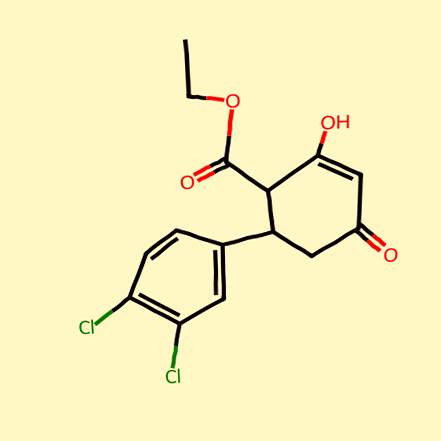 CCOC(=O)C1C(O)=CC(=O)CC1c1ccc(Cl)c(Cl)c1